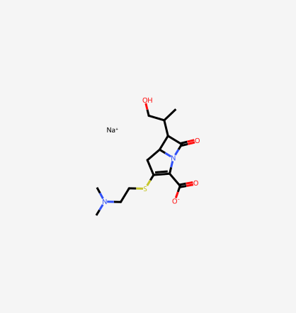 CC(CO)C1C(=O)N2C(C(=O)[O-])=C(SCCN(C)C)CC12.[Na+]